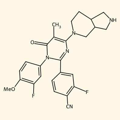 COc1ccc(-n2c(-c3ccc(C#N)c(F)c3)nc(N3CCC4CNCC4C3)c(C)c2=O)cc1F